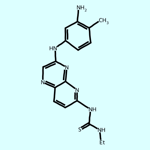 CCNC(=S)Nc1ccc2ncc(Nc3ccc(C)c(N)c3)nc2n1